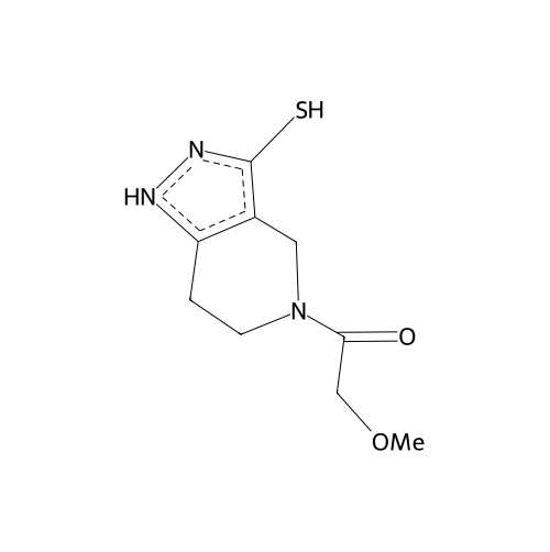 COCC(=O)N1CCc2[nH]nc(S)c2C1